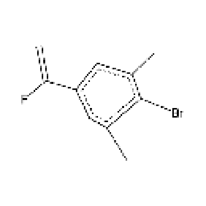 C=C(F)c1cc(C)c(Br)c(C)c1